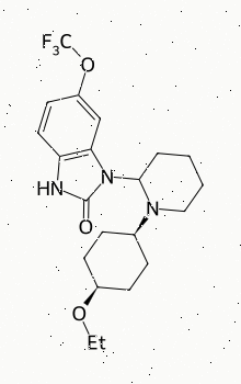 CCO[C@H]1CC[C@@H](N2CCCCC2n2c(=O)[nH]c3ccc(OC(F)(F)F)cc32)CC1